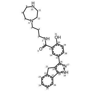 O=C(NCCCN1CCCNCC1)c1cc(-c2n[nH]c3c2Cc2ccccc2-3)ccc1O